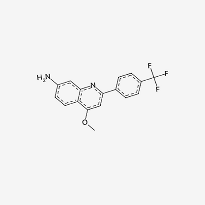 COc1cc(-c2ccc(C(F)(F)F)cc2)nc2cc(N)ccc12